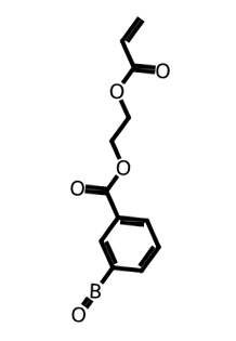 C=CC(=O)OCCOC(=O)c1cccc(B=O)c1